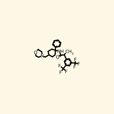 CC(C(=O)NC1(c2ccccc2)CCC(CN2CCOCC2)CC1)c1cc(C(F)(F)F)cc(C(F)(F)F)c1